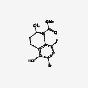 COC(=O)N1c2c(F)cc(Br)c(O)c2CCC1C